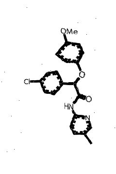 COc1ccc(OC(C(=O)Nc2ccc(C)cn2)c2ccc(Cl)cc2)cc1